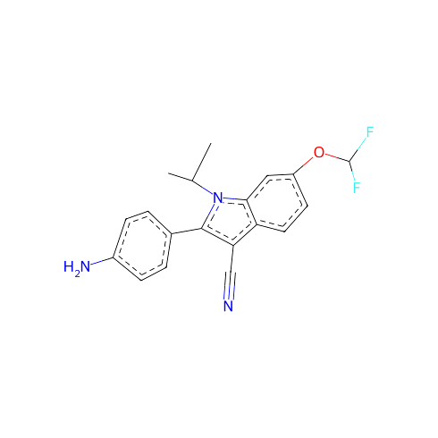 CC(C)n1c(-c2ccc(N)cc2)c(C#N)c2ccc(OC(F)F)cc21